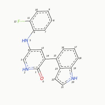 O=c1[nH]cc(Nc2ccccc2F)cc1-c1cccc2[nH]ccc12